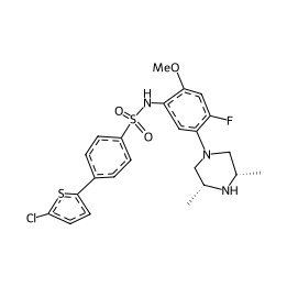 COc1cc(F)c(N2C[C@@H](C)N[C@@H](C)C2)cc1NS(=O)(=O)c1ccc(-c2ccc(Cl)s2)cc1